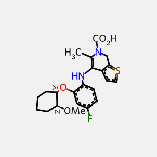 CO[C@H]1CCCC[C@@H]1Oc1cc(F)ccc1NC1=C(C)N(C(=O)O)Cc2sccc21